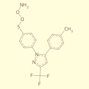 Cc1ccc(-c2cc(C(F)(F)F)nn2-c2ccc(SOON)cc2)cc1